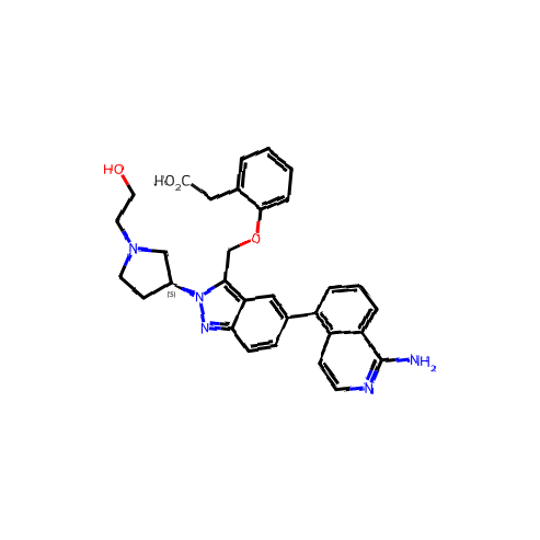 Nc1nccc2c(-c3ccc4nn([C@H]5CCN(CCO)C5)c(COc5ccccc5CC(=O)O)c4c3)cccc12